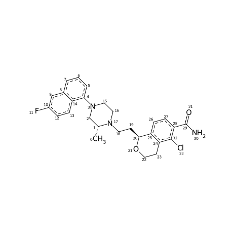 C[C@@H]1CN(c2cccc3cc(F)ccc23)CCN1CC[C@@H]1OCCc2c1ccc(C(N)=O)c2Cl